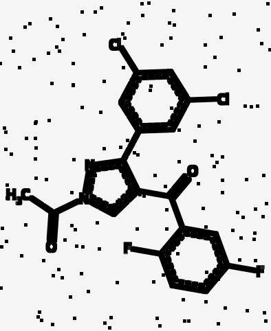 CC(=O)n1cc(C(=O)c2cc(F)ccc2F)c(-c2cc(Cl)cc(Cl)c2)n1